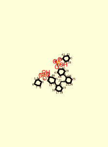 O=P(O)(Oc1ccccc1)Oc1ccc(-c2ccccc2Cc2ccccc2-c2ccc(OP(=O)(O)Oc3ccccc3)cc2)cc1